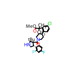 COC(=O)C(C)(C)c1cc(Cl)ccc1C1CCN(C(=O)[C@@]2(C(C)(C)C)CNC[C@H]2c2ccc(F)cc2F)CC1